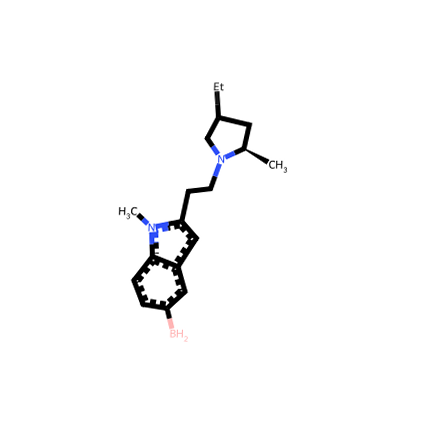 Bc1ccc2c(c1)cc(CCN1CC(CC)C[C@H]1C)n2C